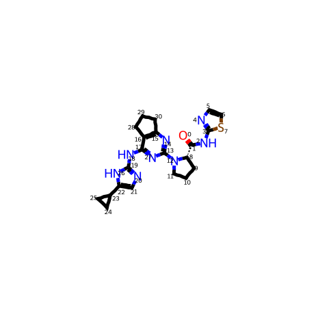 O=C(Nc1nccs1)[C@@H]1CCCN1c1nc2c(c(Nc3ncc(C4CC4)[nH]3)n1)CCC2